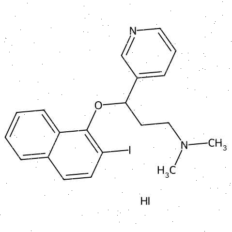 CN(C)CCC(Oc1c(I)ccc2ccccc12)c1cccnc1.I